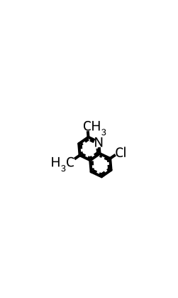 Cc1cc(C)c2cccc(Cl)c2n1